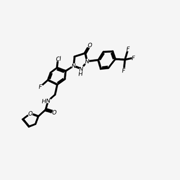 O=C(NCc1cc(N2CC(=O)N(c3ccc(C(F)(F)F)cc3)N2)c(Cl)cc1F)C1CCCO1